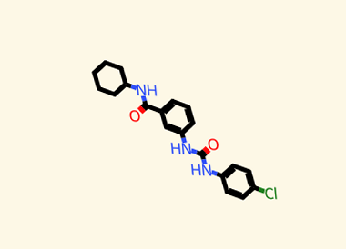 O=C(Nc1ccc(Cl)cc1)Nc1cccc(C(=O)NC2CCCCC2)c1